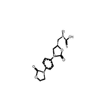 CCN(C[C@@H]1CN(c2ccc(N3CCOC3=O)cc2)C(=O)O1)C(O)=S